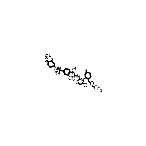 Cc1ccc(COCC(F)(F)F)c(N2C(=O)CS/C2=N\C(=O)Nc2ccc(-c3ncn(-c4ccc(OC(F)(F)F)cc4)n3)cc2Cl)c1